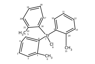 Cc1cccc[c]1[Zr]([Cl])([c]1ccccc1C)[c]1ccccc1C